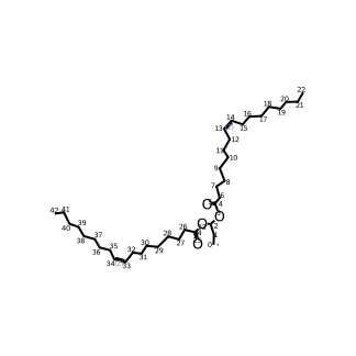 [CH2]CC(OC(=O)CCCCCCC/C=C\CCCCCCCC)OC(=O)CCCCCCC/C=C\CCCCCCCC